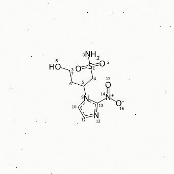 NS(=O)(=O)CC(CCO)n1ccnc1[N+](=O)[O-]